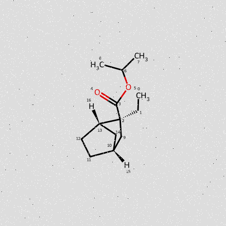 CC[C@]1(C(=O)OC(C)C)C[C@@H]2CC[C@H]1C2